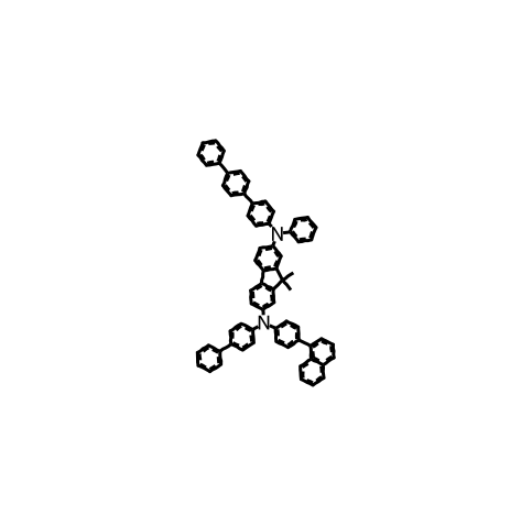 CC1(C)c2cc(N(c3ccccc3)c3ccc(-c4ccc(-c5ccccc5)cc4)cc3)ccc2-c2ccc(N(c3ccc(-c4ccccc4)cc3)c3ccc(-c4cccc5ccccc45)cc3)cc21